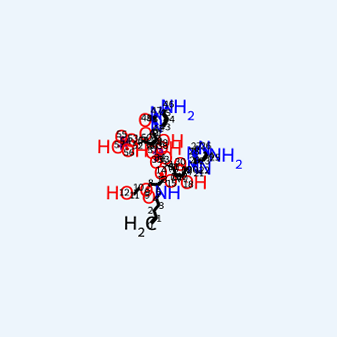 C=CCCC(=O)NC(COCCO)C(=O)O[C@H]1[C@@H](O)[C@H](n2cnc3c(N)ncnc32)O[C@@H]1COP(=O)(O)O[C@H]1[C@@H](O)[C@H](n2ccc(N)nc2=O)O[C@@H]1COP(=O)(O)O